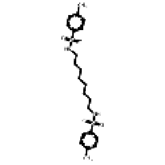 Cc1ccc(S(=O)(=O)NCCCCCCCCNS(=O)(=O)c2ccc(C)cc2)cc1